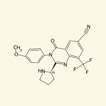 COc1ccc(-n2c([C@H]3CCCN3)nc3c(C(F)(F)F)cc(C#N)cc3c2=O)cc1